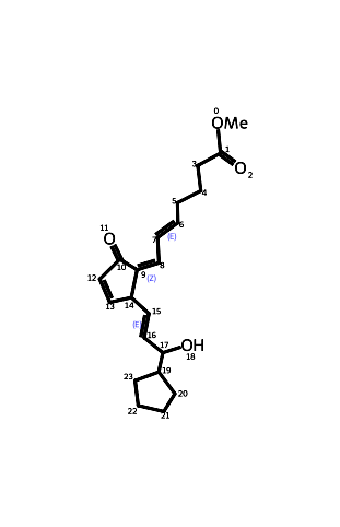 COC(=O)CCC/C=C/C=C1\C(=O)C=CC1/C=C/C(O)C1CCCC1